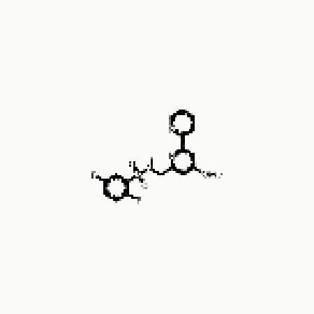 COc1cc(CNS(=O)(=O)c2cc(F)ccc2F)nc(-c2ccccn2)c1